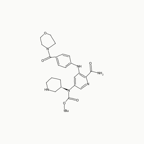 CC(C)(C)OC(=O)N(c1cnc(C(N)=O)c(Nc2ccc(C(=O)N3CCOCC3)cc2)c1)[C@@H]1CCCNC1